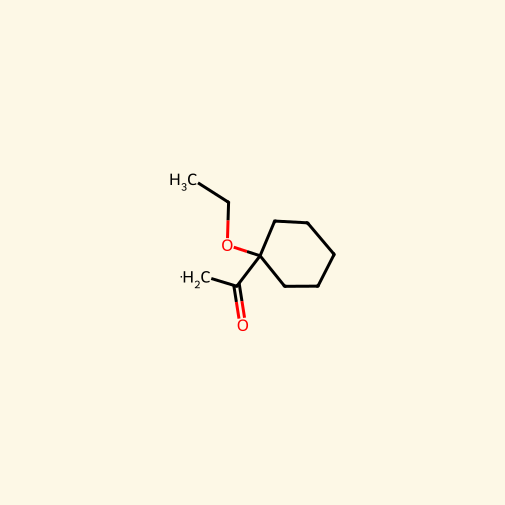 [CH2]C(=O)C1(OCC)CCCCC1